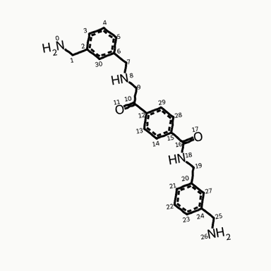 NCc1cccc(CNCC(=O)c2ccc(C(=O)NCc3cccc(CN)c3)cc2)c1